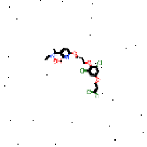 CC[N+](O)=C(C)c1ccc(OCCCOc2c(Cl)cc(OCC=C(Cl)Cl)cc2Cl)nc1